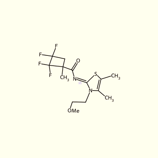 COCCn1c(C)c(C)s/c1=N\C(=O)C1(C)CC(F)(F)C1(F)F